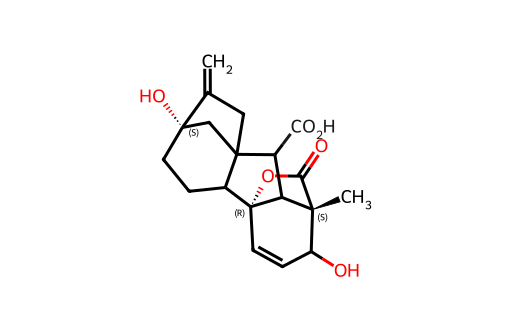 C=C1CC23C[C@@]1(O)CCC2[C@@]12C=CC(O)[C@@](C)(C(=O)O1)C2C3C(=O)O